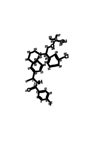 CC(NC(=O)c1ccc(F)cc1)c1ccc2c(c1)CCCN2C(CO[Si](C)(C)C(C)(C)C)c1cccc(Cl)c1